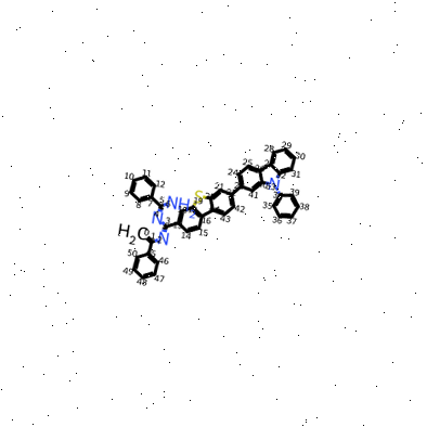 C=C(/N=C(\N=C(/N)c1ccccc1)c1ccc2c(c1)sc1cc(-c3ccc4c5ccccc5n(-c5ccccc5)c4c3)ccc12)c1ccccc1